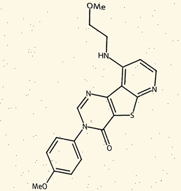 COCCNc1ccnc2sc3c(=O)n(-c4ccc(OC)cc4)cnc3c12